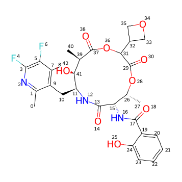 Cc1nc(F)c(F)c(C)c1C[C@@H]1NC(=O)[C@@H](NC(=O)c2ccccc2O)[C@@H](C)OC(=O)C(C2COC2)OC(=O)[C@H](C)[C@@H]1O